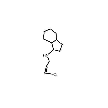 Cl/C=C\CNC1CCC2CCCCC21